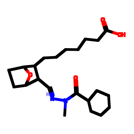 CN(/N=C/C1C2CCC(O2)C1CCCCCCC(=O)O)C(=O)C1CCCCC1